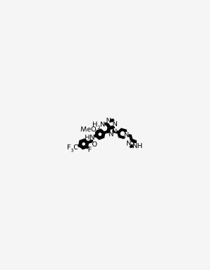 COc1cc(-c2nn(C3CCN(Cc4c[nH]cn4)CC3)c3ncnc(N)c23)ccc1NC(=O)c1ccc(C(F)(F)F)cc1F